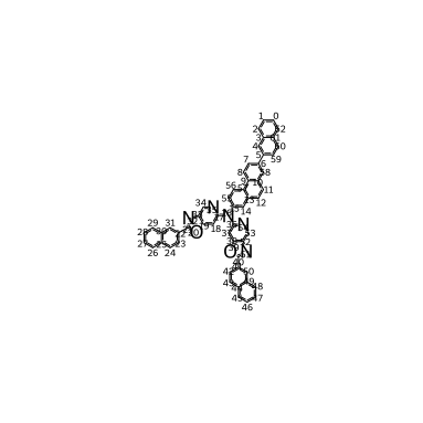 c1ccc2cc(-c3ccc4c(ccc5cc(N(c6cc7oc(-c8ccc9ccccc9c8)nc7cn6)c6cc7oc(-c8ccc9ccccc9c8)nc7cn6)ccc54)c3)ccc2c1